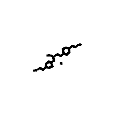 CCCC=Cc1ccc(N=CC(CCCC)=Nc2ccc(C=CCCC)cc2)cc1.[Ni]